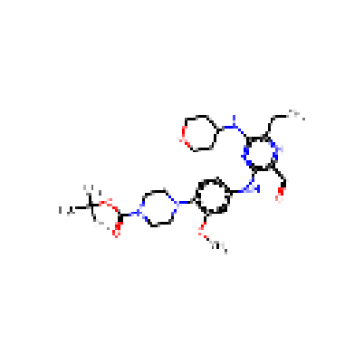 CCc1nc(C=O)c(Nc2ccc(N3CCN(C(=O)OC(C)(C)C)CC3)c(OC)c2)nc1NC1CCOCC1